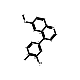 COc1ccc2nccc(-c3ccc(C)c(O)c3)c2c1